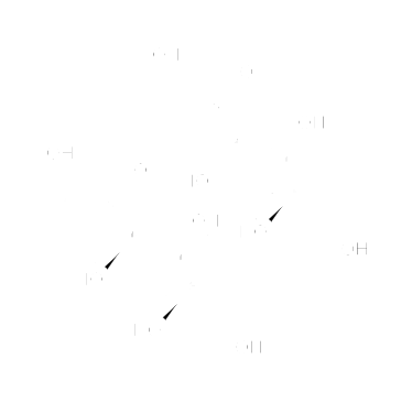 O=C(CO)[C@@H](O)[C@H](O)[C@H](O)CO.O=C(CO)[C@H](O)[C@H](O)[C@H](O)CO